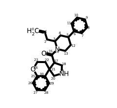 C=CCC1CC(c2ccccc2)CCN1C(=O)C1CNCC12CCOc1ccccc12